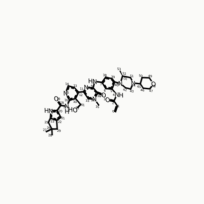 C=CC(=O)Nc1cc(Nc2nc(-c3ccnc(NC(=O)c4cc5c([nH]4)CC(C)(C)C5)c3CO)cn(C)c2=O)ccc1N1CCN(C2CCOCC2)C[C@@H]1C